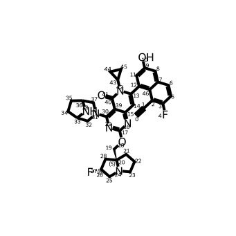 C#Cc1c(F)ccc2cc(O)cc(-c3cc4nc(OC[C@@]56CCCN5C[C@H](F)C6)nc(N5CC6CCC(C5)N6)c4c(=O)n3C3CC3)c12